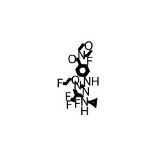 O=C(c1cc(OCCF)c(Nc2ncc(C(F)(F)F)c(NC3CC3)n2)cc1F)N1CCOCC1